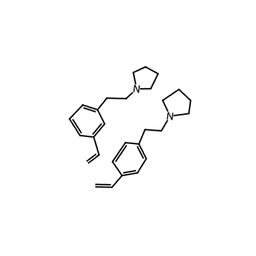 C=Cc1ccc(CCN2CCCC2)cc1.C=Cc1cccc(CCN2CCCC2)c1